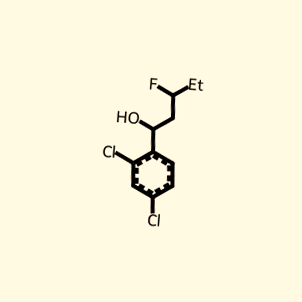 CCC(F)CC(O)c1ccc(Cl)cc1Cl